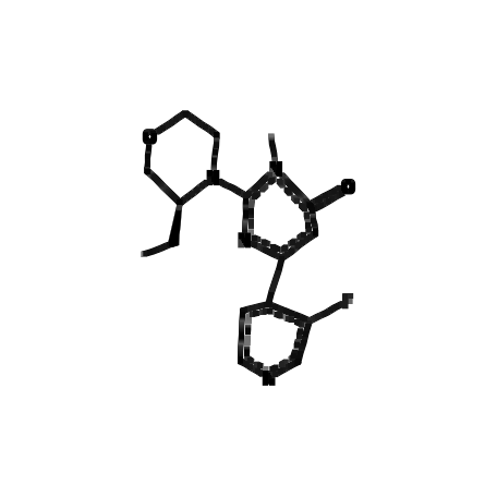 CC[C@H]1COCCN1c1nc(-c2ccncc2F)cc(=O)n1C